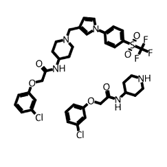 O=C(COc1cccc(Cl)c1)NC1CCN(Cc2ccn(-c3ccc(S(=O)(=O)C(F)(F)F)cc3)c2)CC1.O=C(COc1cccc(Cl)c1)NC1CCNCC1